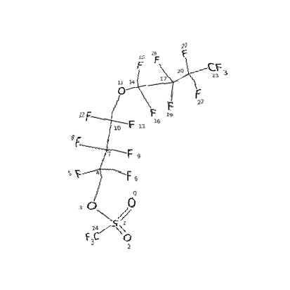 O=S(=O)(OC(F)(F)C(F)(F)C(F)(F)OC(F)(F)C(F)(F)C(F)(F)C(F)(F)F)C(F)(F)F